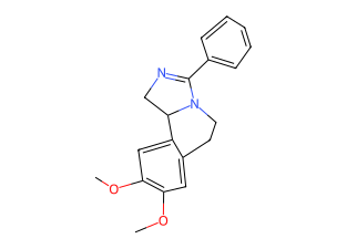 COc1cc2c(cc1OC)C1CN=C(c3ccccc3)N1CC2